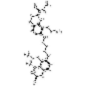 CCCc1c(OCCCOc2ccc3c(c2CCC)OC(C(=O)OC)CC3)ccc(CC(=O)Cl)c1OC